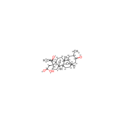 CC(=O)[C@@]1(CC(=O)O)CC[C@H]2[C@@H]3CC[C@H]4CC(=O)C(C)C[C@]4(C)[C@H]3CC[C@@]21C